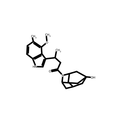 COc1c(C)ccc2[nH]cc(C(C)CC(=O)N3C4CC5CC3CC(O)(C5)C4)c12